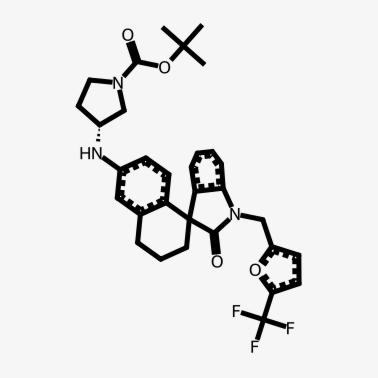 CC(C)(C)OC(=O)N1CC[C@@H](Nc2ccc3c(c2)CCCC32C(=O)N(Cc3ccc(C(F)(F)F)o3)c3ccccc32)C1